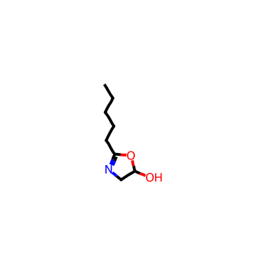 CCCCCC1=NCC(O)O1